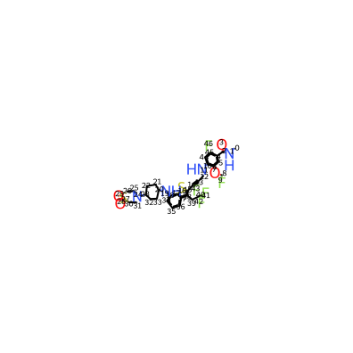 CNC(=O)c1cc(OCF)c(NCC#Cc2sc3c(NC4CCC(N5CCS(=O)(=O)CC5)CC4)cccc3c2CC(F)(F)F)cc1F